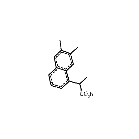 Cc1cc2cccc(C(C)C(=O)O)c2cc1C